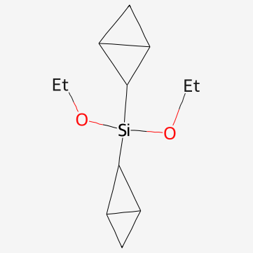 CCO[Si](OCC)(C1C2CC21)C1C2CC21